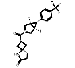 O=C1CC[C@]2(C[C@H](C(=O)N3C[C@@H]4[C@H](C3)[C@H]4c3ccc(C(F)(F)F)cc3)C2)N1